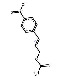 NC(=O)OC/C=C/c1ccc([N+](=O)[O-])cc1